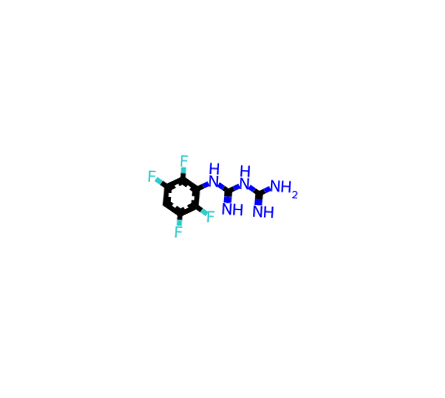 N=C(N)NC(=N)Nc1c(F)c(F)cc(F)c1F